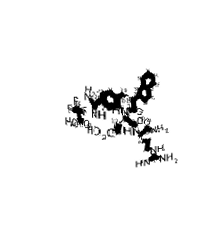 N=C(N)NCCC[C@H](NC(=O)[C@H](CCC(=O)O)NC(=O)[C@H](Cc1ccc(C(=N)N)cc1)c1ccc2ccccc2c1)C(N)=O.O=C(O)C(F)(F)F